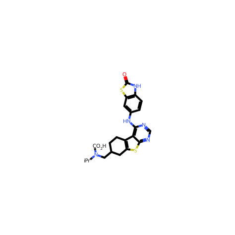 CC(C)N(CC1CCc2c(sc3ncnc(Nc4ccc5[nH]c(=O)sc5c4)c23)C1)C(=O)O